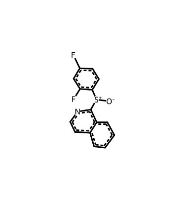 [O-][S+](c1ccc(F)cc1F)c1nccc2ccccc12